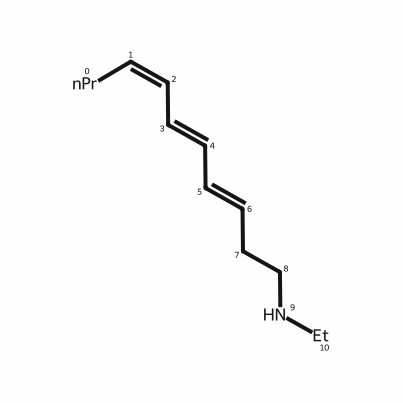 CCC\C=C/C=C/C=C/CCNCC